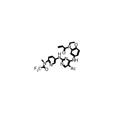 C=CC(=O)N1CCOc2ccc(Nc3nc(Nc4ccc(N(C)C(=O)C(F)(F)F)nc4)ncc3C(C)=O)cc21